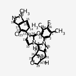 Cc1cc(-n2nc3c(c2-n2ccn(-c4ccc5c(cnn5C)c4Cl)c2=O)[C@@H]2COC[C@H](C3)N2)cc(C)c1F